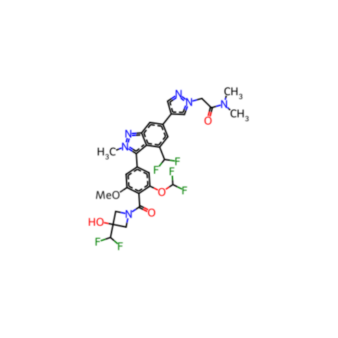 COc1cc(-c2c3c(C(F)F)cc(-c4cnn(CC(=O)N(C)C)c4)cc3nn2C)cc(OC(F)F)c1C(=O)N1CC(O)(C(F)F)C1